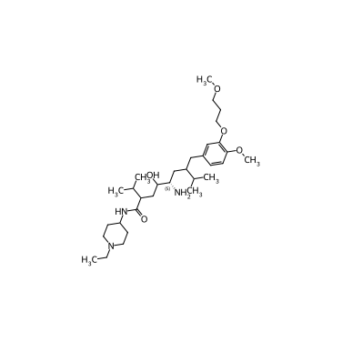 CCN1CCC(NC(=O)C(CC(O)[C@@H](N)CC(Cc2ccc(OC)c(OCCCOC)c2)C(C)C)C(C)C)CC1